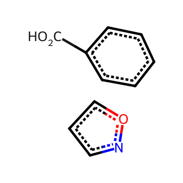 O=C(O)c1ccccc1.c1cnoc1